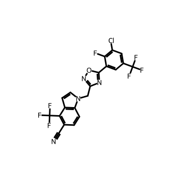 N#Cc1ccc2c(ccn2Cc2noc(-c3cc(C(F)(F)F)cc(Cl)c3F)n2)c1C(F)(F)F